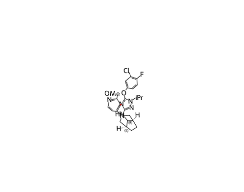 COc1cc(N2C[C@H]3CC[C@@H](C2)C3Nc2nc(Oc3ccc(F)c(Cl)c3)n(C(C)C)n2)ccn1